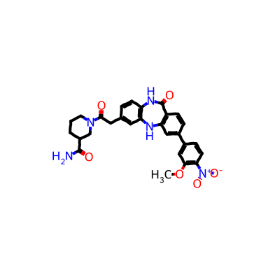 COc1cc(-c2ccc3c(c2)Nc2cc(CC(=O)N4CCCC(C(N)=O)C4)ccc2NC3=O)ccc1[N+](=O)[O-]